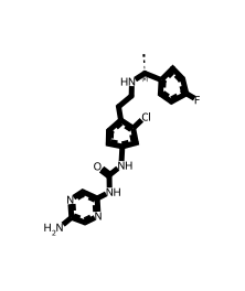 C[C@@H](NCCc1ccc(NC(=O)Nc2cnc(N)cn2)cc1Cl)c1ccc(F)cc1